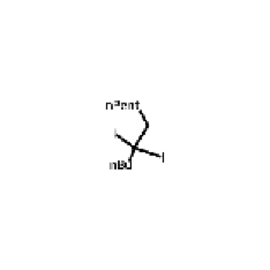 CCCCCCC(I)(I)CCCC